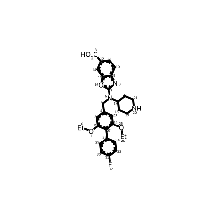 CCOc1cc(CN(c2nc3ccc(C(=O)O)cc3o2)C2CCNCC2)cc(OCC)c1-c1ccc(F)cc1